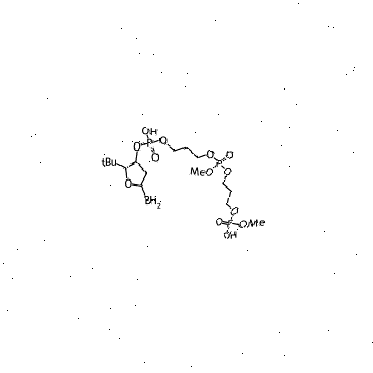 BC1CC(OP(=O)(O)OCCCOP(=O)(OC)OCCCOP(=O)(O)OC)C(C(C)(C)C)O1